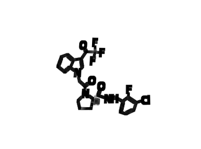 O=C(NCc1cccc(Cl)c1F)[C@@H]1CCCN1C(=O)Cn1cc(C(=O)C(F)(F)F)c2ccccc21